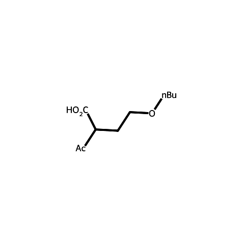 CCCCOCCC(C(C)=O)C(=O)O